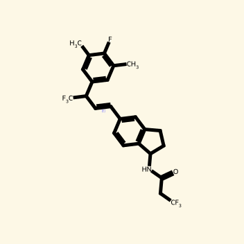 Cc1cc(C(/C=C/c2ccc3c(c2)CCC3NC(=O)CC(F)(F)F)C(F)(F)F)cc(C)c1F